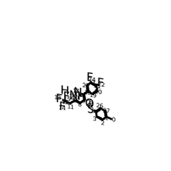 Cc1ccc(SOC(/C=C(\N)CC(F)(F)F)=C(/N)c2ccc(F)c(F)c2)cc1